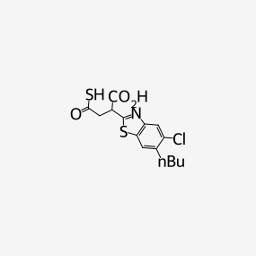 CCCCc1cc2sc(C(CC(=O)S)C(=O)O)nc2cc1Cl